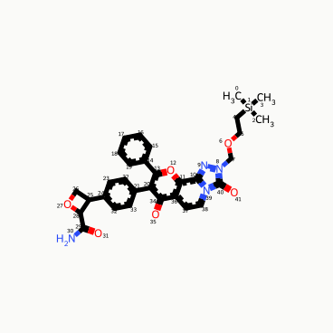 C[Si](C)(C)CCOCn1nc2c3oc(-c4ccccc4)c(-c4ccc([C]5COC5C(N)=O)cc4)c(=O)c3ccn2c1=O